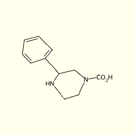 O=C(O)N1CCNC(c2ccccc2)C1